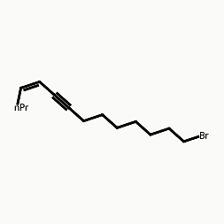 CCC/C=C\C#CCCCCCCCBr